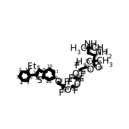 CCc1ccccc1-c1cc2ccc(OCC(F)(F)OC(F)(F)OC(F)(F)OC(F)(F)COC(=O)C(C)(C)C(N)CC(C)(C)N)cc2s1